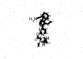 CCN1[C@H]2[C@@H](C)[C@H]2C[C@H]1[C@H](C)Oc1nccc(-c2onc3c2CCC[C@@]32CCCc3sc(N)c(C#N)c32)n1